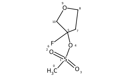 CS(=O)(=O)OC1(F)CCOC1